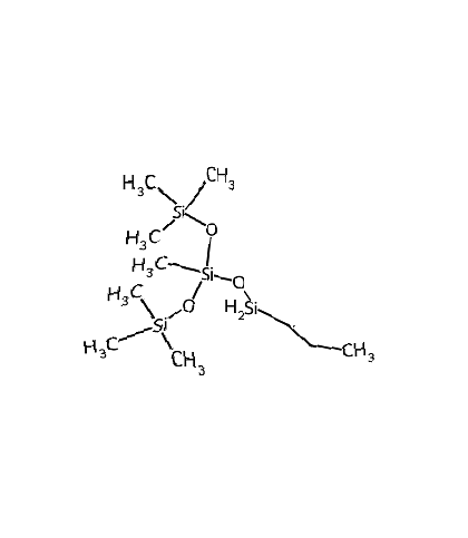 CC[CH][SiH2]O[Si](C)(O[Si](C)(C)C)O[Si](C)(C)C